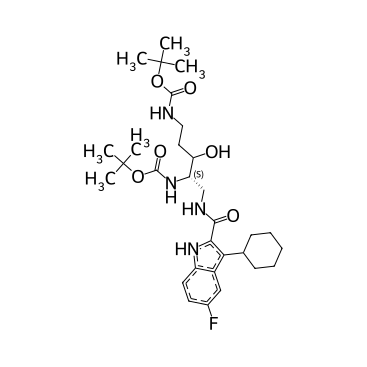 CC(C)(C)OC(=O)NCCC(O)[C@H](CNC(=O)c1[nH]c2ccc(F)cc2c1C1CCCCC1)NC(=O)OC(C)(C)C